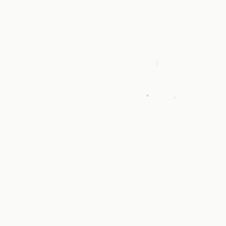 C=C1C(=O)NC(=O)N1c1ccc(Oc2ccc(Cl)cc2)c(Cl)c1